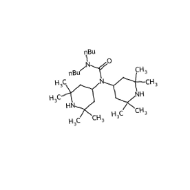 CCCCN(CCCC)C(=O)N(C1CC(C)(C)NC(C)(C)C1)C1CC(C)(C)NC(C)(C)C1